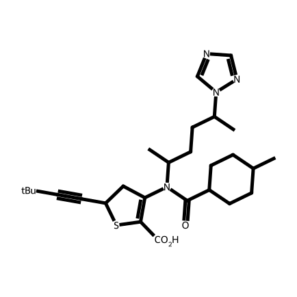 CC1CCC(C(=O)N(C2=C(C(=O)O)SC(C#CC(C)(C)C)C2)C(C)CCC(C)n2cncn2)CC1